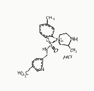 Cc1cccc([N@@+]2(S(=O)(=O)NCc3ccc(C(=O)O)cn3)CCNC(C)C2)c1.Cl